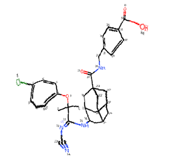 CC(C)(Oc1ccc(Cl)cc1)/C(=N/C#N)NC1C2CC3CC1CC(C(=O)NCc1ccc(C(=O)O)cc1)(C3)C2